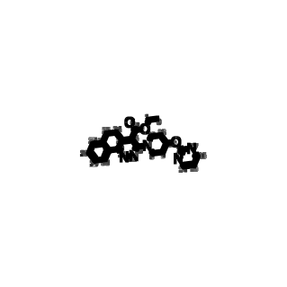 CCOC(=O)c1c(N2CCC(Oc3ncccn3)CC2)nnc2c1CCc1ccccc1-2